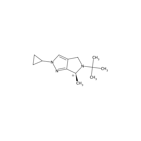 C[C@H]1c2nn(C3CC3)cc2CN1C(C)(C)C